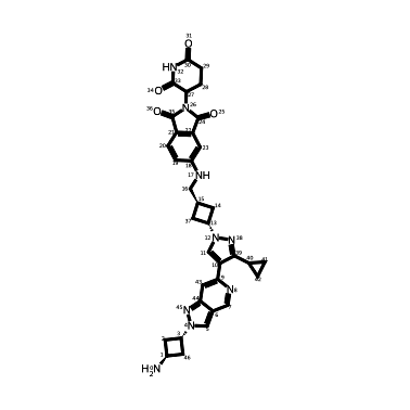 N[C@H]1C[C@H](n2cc3cnc(-c4cn([C@H]5C[C@H](CNc6ccc7c(c6)C(=O)N(C6CCC(=O)NC6=O)C7=O)C5)nc4C4CC4)cc3n2)C1